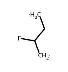 [CH2]CC([CH2])F